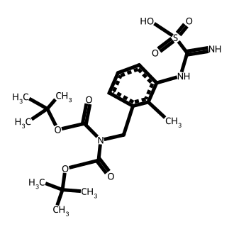 Cc1c(CN(C(=O)OC(C)(C)C)C(=O)OC(C)(C)C)cccc1NC(=N)S(=O)(=O)O